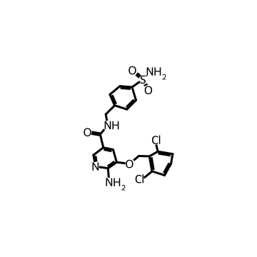 Nc1ncc(C(=O)NCc2ccc(S(N)(=O)=O)cc2)cc1OCc1c(Cl)cccc1Cl